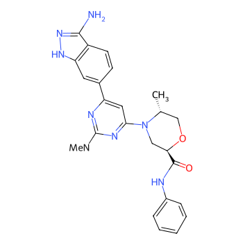 CNc1nc(-c2ccc3c(N)n[nH]c3c2)cc(N2C[C@H](C(=O)Nc3ccccc3)OC[C@H]2C)n1